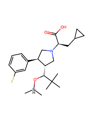 C[SiH](C)OC([C@H]1CN([C@H](CC2CC2)C(=O)O)C[C@@H]1c1cccc(F)c1)C(C)(C)C